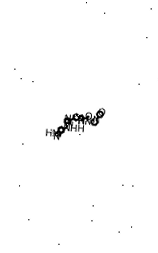 O=C(NC1CCCN(C2CCOCC2)C1)c1cc2ccc(-c3nccc(Nc4ccc5[nH]ncc5c4)n3)cc2[nH]1